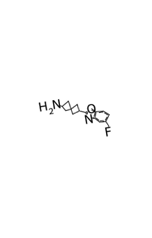 NC1CC2(C1)CC(c1nc3cc(CF)ccc3o1)C2